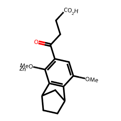 COc1cc(C(=O)CCC(=O)O)c(OC)c2c1C1CCC2C1.[Zn]